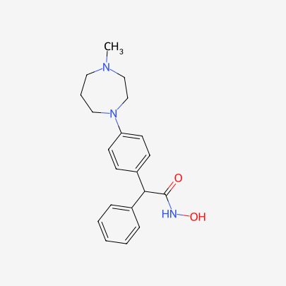 CN1CCCN(c2ccc(C(C(=O)NO)c3ccccc3)cc2)CC1